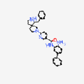 Nc1ccc(-c2ccccc2)cc1NC(=O)c1ccc(N2CCC3(CCNC3Cc3ccccc3)C2)nc1